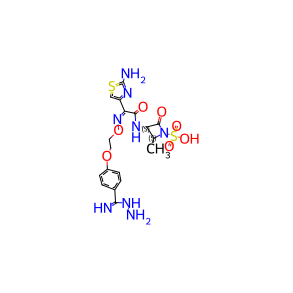 C[C@H]1[C@H](NC(=O)C(=NOCCOc2ccc(C(=N)NN)cc2)c2csc(N)n2)C(=O)N1S(=O)(=O)O